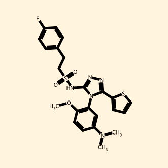 COc1ccc(N(C)C)cc1-n1c(NS(=O)(=O)CCc2ccc(F)cc2)nnc1-c1cccs1